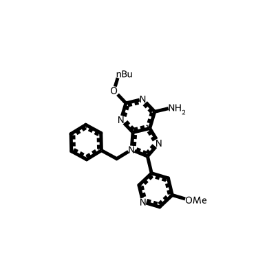 CCCCOc1nc(N)c2nc(-c3cncc(OC)c3)n(Cc3ccccc3)c2n1